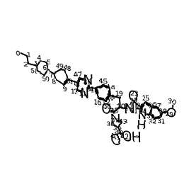 CCCC1CCC(C2CC=C(c3cnc(-c4ccc(CC(NC(=O)c5cc6cc(OC)ccc6[nH]5)C(=O)N5CC(C(=O)O)C5)cc4)nc3)CC2)CC1